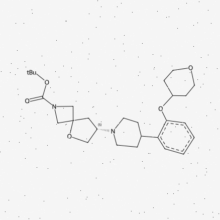 CC(C)(C)OC(=O)N1CC2(C[C@H](N3CCC(c4ccccc4OC4CCOCC4)CC3)CO2)C1